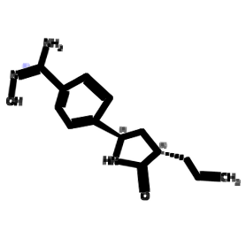 C=CC[C@H]1C[C@H](c2ccc(/C(N)=N\O)cc2)NC1=O